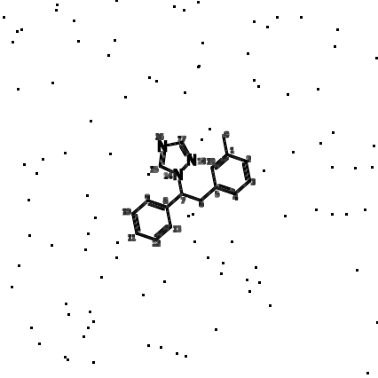 Cc1cccc(CC(c2ccccc2)n2cncn2)c1